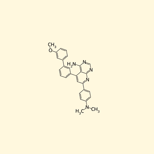 COc1cccc(-c2cccc(-c3cc(-c4ccc(N(C)C)cc4)nc4ncnc(N)c34)c2)c1